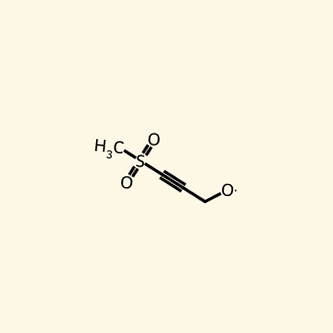 CS(=O)(=O)C#CC[O]